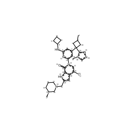 CC1CC(c2cc(NC3CCC3)nc(-n3cc(Cl)c4cc(CN5CCC[C@H](C)C5)[nH]c4c3=O)c2)(c2nncn2C)C1